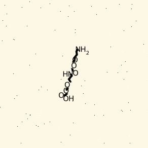 NCCCOCOCC(=O)NCCCOCOCC(=O)O